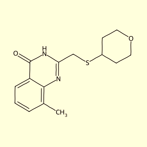 Cc1cccc2c(=O)[nH]c(CSC3CCOCC3)nc12